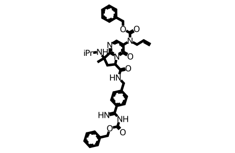 C=CCN(C(=O)OCc1ccccc1)c1cnc2n(c1=O)C(C(=O)NCc1ccc(C(=N)NC(=O)OCc3ccccc3)cc1)CC2(C)NC(C)C